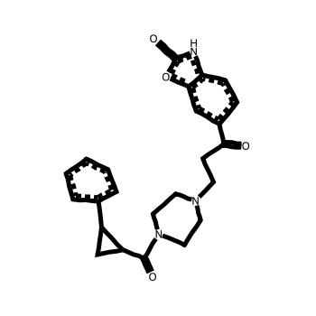 O=C(CCN1CCN(C(=O)C2CC2c2ccccc2)CC1)c1ccc2[nH]c(=O)oc2c1